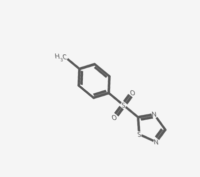 Cc1ccc(S(=O)(=O)c2ncns2)cc1